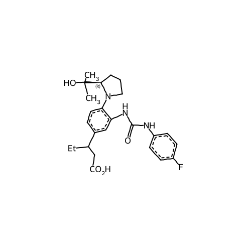 CCC(CC(=O)O)c1ccc(N2CCC[C@@H]2C(C)(C)O)c(NC(=O)Nc2ccc(F)cc2)c1